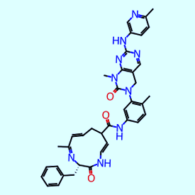 CC1=N/[C@@H](Cc2ccccc2)C(=O)N/C=C/C(C(=O)Nc2ccc(C)c(N3Cc4cnc(Nc5ccc(C)nc5)nc4N(C)C3=O)c2)C\C=C\1